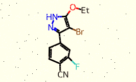 CCOc1[nH]nc(-c2ccc(C#N)c(F)c2)c1Br